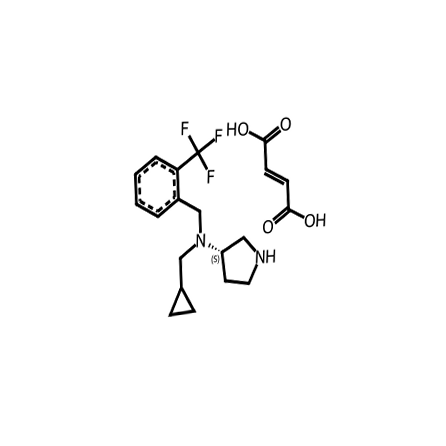 FC(F)(F)c1ccccc1CN(CC1CC1)[C@H]1CCNC1.O=C(O)C=CC(=O)O